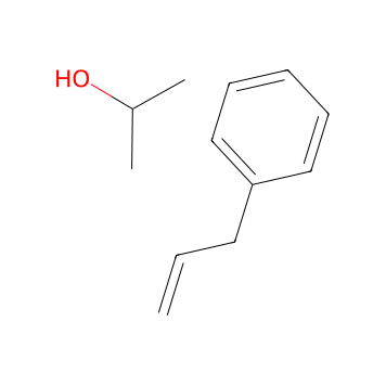 C=CCc1ccccc1.CC(C)O